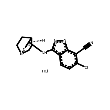 Cl.N#Cc1c(Cl)ccc2c(N[C@H]3CN4CCC3CC4)noc12